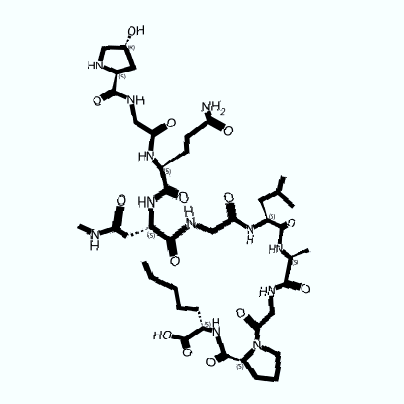 CCCCC[C@H](NC(=O)[C@@H]1CCCN1C(=O)CNC(=O)[C@H](C)NC(=O)[C@H](CC(C)C)NC(=O)CNC(=O)[C@H](CC(=O)NC)NC(=O)[C@H](CCC(N)=O)NC(=O)CNC(=O)[C@@H]1C[C@@H](O)CN1)C(=O)O